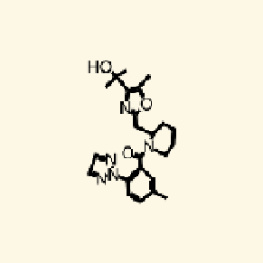 Cc1ccc(-n2nccn2)c(C(=O)N2CCCCC2Cc2nc(C(C)(C)O)c(C)o2)c1